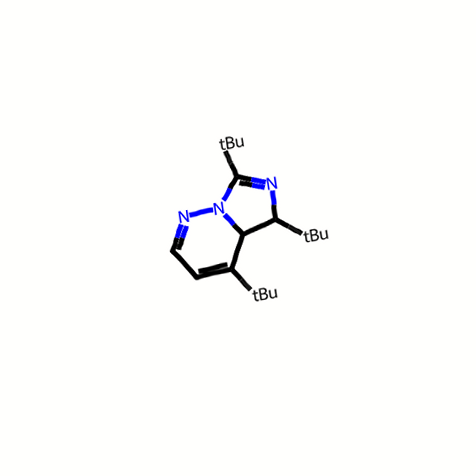 CC(C)(C)C1=CC=NN2C(C(C)(C)C)=NC(C(C)(C)C)C12